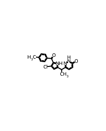 Cc1ccc(C(=O)c2[nH]c(C(C)c3ccc(=O)[nH]n3)cc2Cl)cc1